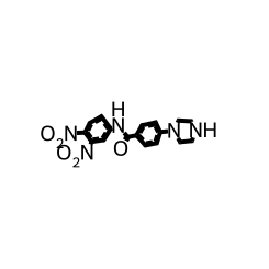 O=C(Nc1ccc([N+](=O)[O-])c([N+](=O)[O-])c1)c1ccc(N2CCNCC2)cc1